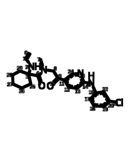 C=CNC1(C(=O)N(C)CC(=O)c2ccc(Nc3cccc(Cl)c3)nc2)CCCCC1